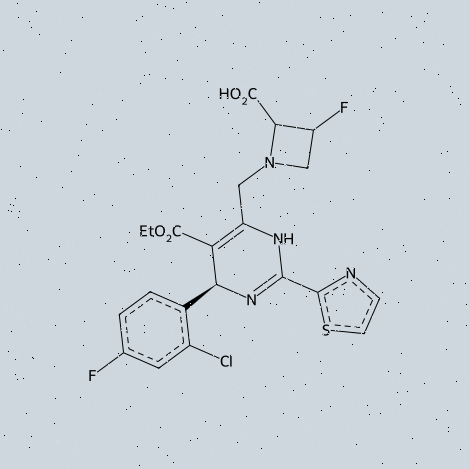 CCOC(=O)C1=C(CN2CC(F)C2C(=O)O)NC(c2nccs2)=N[C@H]1c1ccc(F)cc1Cl